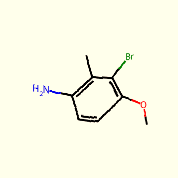 COc1ccc(N)c(C)c1Br